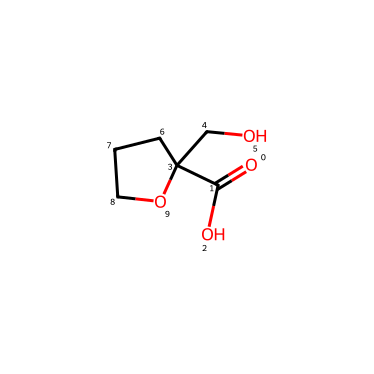 O=C(O)C1(CO)CCCO1